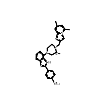 Cc1cc(C)n2cc(CN3CCN(c4cccc5nc(-c6ccc(C(C)(C)C)cc6)[nH]c45)C[C@@H]3C)nc2c1